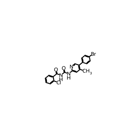 Cc1cc(NC(=O)NC(=O)c2ccccc2Cl)ncc1-c1ccc(Br)cc1